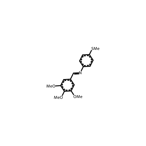 COc1cc(C=Nc2ccc(SC)cc2)cc(OC)c1OC